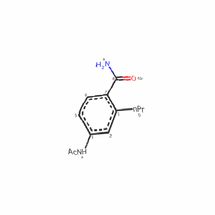 CCCc1cc(NC(C)=O)ccc1C(N)=O